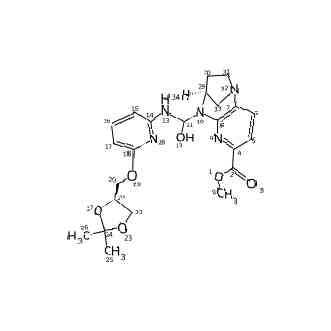 COC(=O)c1ccc2c(n1)N(C(O)Nc1cccc(OC[C@H]3COC(C)(C)O3)n1)[C@H]1CCN2C1